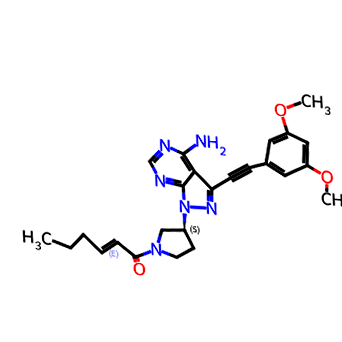 CCC/C=C/C(=O)N1CC[C@H](n2nc(C#Cc3cc(OC)cc(OC)c3)c3c(N)ncnc32)C1